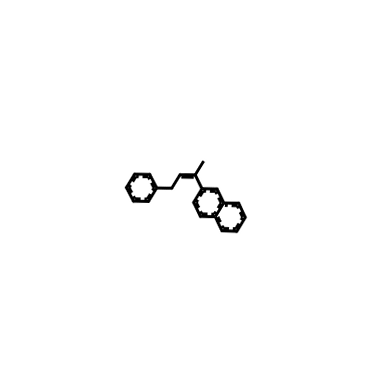 C/C(=C/Cc1ccccc1)c1ccc2ccccc2c1